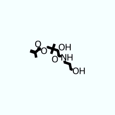 C=C(C)C(=O)OCC(C)(C)C(O)C(=O)NCCCO